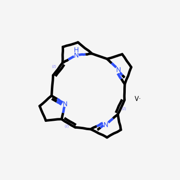 C1=C2/CCC(=N2)/C=C2/CCC(N2)C2CCC(=N2)/C=C2/CCC/1=N2.[V]